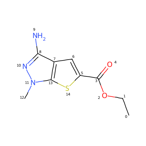 CCOC(=O)c1cc2c(N)nn(C)c2s1